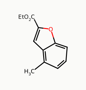 CCOC(=O)c1cc2c(C)cccc2o1